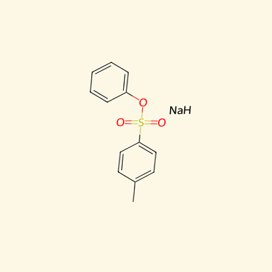 Cc1ccc(S(=O)(=O)Oc2ccccc2)cc1.[NaH]